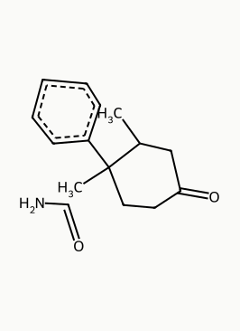 CC1CC(=O)CCC1(C)c1ccccc1.NC=O